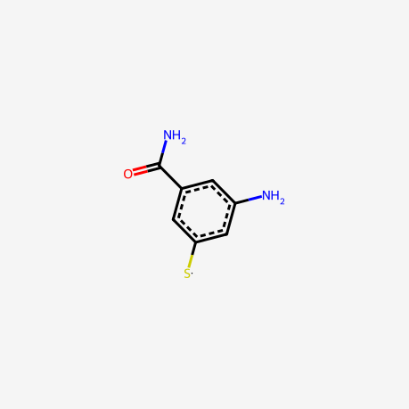 NC(=O)c1cc(N)cc([S])c1